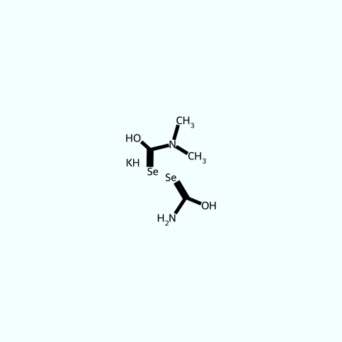 CN(C)C(O)=[Se].NC(O)=[Se].[KH]